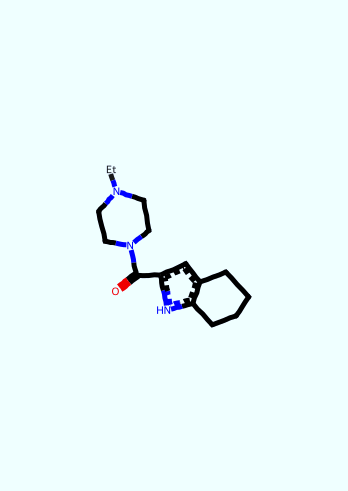 CCN1CCN(C(=O)c2cc3c([nH]2)CCCC3)CC1